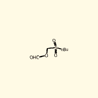 CCCCS(=O)(=O)COC=O